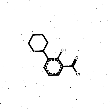 O=C(O)c1cccc(C2CCCCC2)c1O